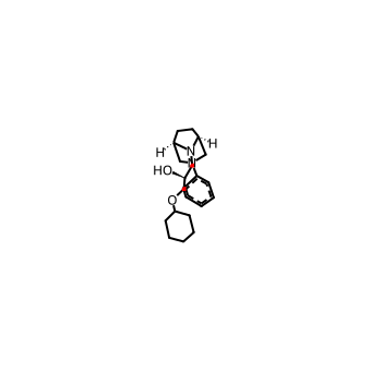 O[C@H](COC1CCCCC1)CN1[C@@H]2CC[C@H]1CN(c1ccccc1)C2